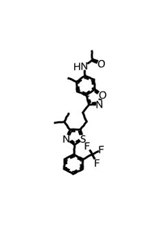 CC(=O)Nc1cc2onc(CCc3sc(-c4ccccc4C(F)(F)F)nc3C(C)C)c2cc1C